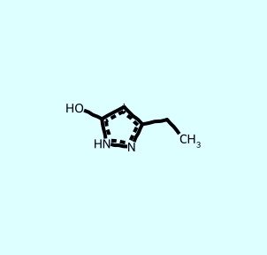 CCc1[c]c(O)[nH]n1